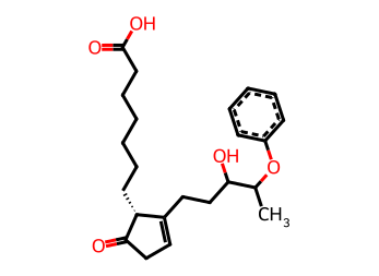 CC(Oc1ccccc1)C(O)CCC1=CCC(=O)[C@@H]1CCCCCCC(=O)O